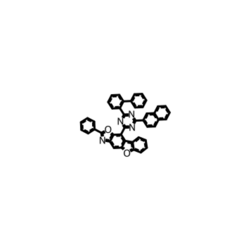 c1ccc(-c2nc3cc4oc5ccccc5c4c(-c4nc(-c5ccc6ccccc6c5)nc(-c5ccccc5-c5ccccc5)n4)c3o2)cc1